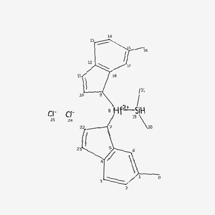 Cc1ccc2c(c1)[CH]([Hf+2]([CH]1C=Cc3ccc(C)cc31)[SiH](C)C)C=C2.[Cl-].[Cl-]